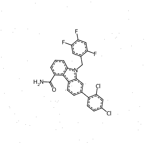 NC(=O)c1cccc2c1c1[c]cc(-c3ccc(Cl)cc3Cl)cc1n2Cc1cc(F)c(F)cc1F